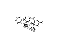 Clc1ccc2c(c1)Sc1ccc(-c3ccccc3)cc1C21c2ccccc2-c2ccccc21